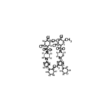 Cc1cc(S(=O)(=O)N2CCN(c3nc(-c4ccccc4)cs3)CC2)c(Cl)cc1Cl.Cc1cc(S(=O)(=O)N2CCN(c3nc(-c4ccccc4C)cs3)CC2)c(Cl)cc1Cl